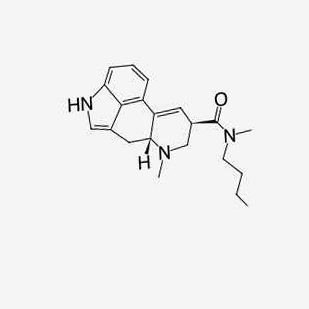 CCCCN(C)C(=O)[C@@H]1C=C2c3cccc4[nH]cc(c34)C[C@H]2N(C)C1